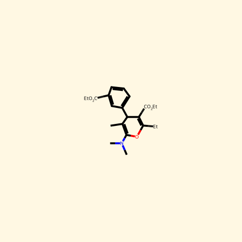 CCOC(=O)C1=C(CC)OC(N(C)C)=C(C)C1c1cccc(C(=O)OCC)c1